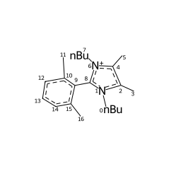 CCCCn1c(C)c(C)[n+](CCCC)c1-c1c(C)cccc1C